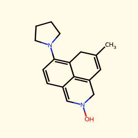 CC1=CC2=c3c(c(N4CCCC4)ccc3=CN(O)C2)C1